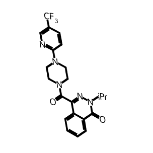 CC(C)n1nc(C(=O)N2CCN(c3ccc(C(F)(F)F)cn3)CC2)c2ccccc2c1=O